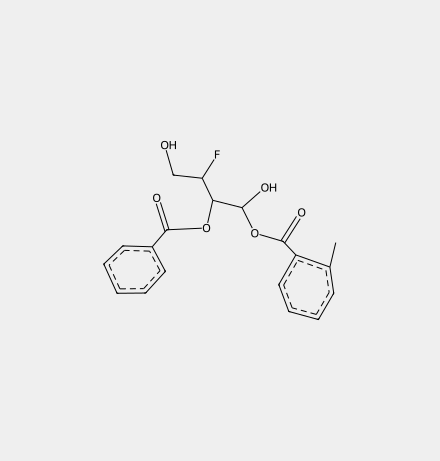 Cc1ccccc1C(=O)OC(O)C(OC(=O)c1ccccc1)C(F)CO